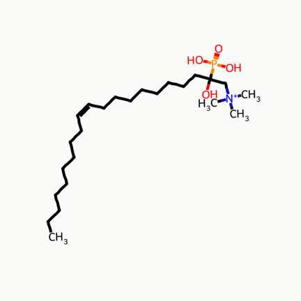 CCCCCCCCC/C=C\CCCCCCCCC(O)(C[N+](C)(C)C)P(=O)(O)O